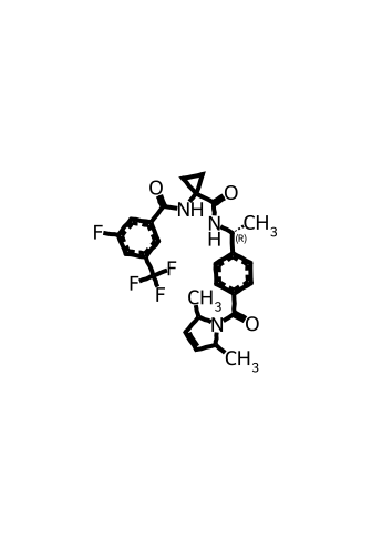 CC1C=CC(C)N1C(=O)c1ccc([C@@H](C)NC(=O)C2(NC(=O)c3cc(F)cc(C(F)(F)F)c3)CC2)cc1